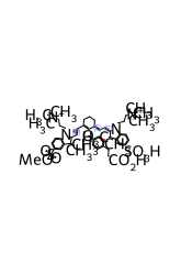 COS(=O)(=O)c1ccc2c(c1)C(C)(C)C(/C=C/C1=C(Oc3ccc(CCC(=O)O)cc3)C(=C/C=C3/N(CCC[N+](C)(C)C)c4ccc(S(=O)(=O)O)cc4C3(C)C)/CCC1)=[N+]2CCC[N+](C)(C)C